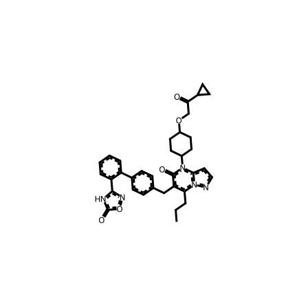 CCCc1c(Cc2ccc(-c3ccccc3-c3noc(=O)[nH]3)cc2)c(=O)n(C2CCC(OCC(=O)C3CC3)CC2)c2ccnn12